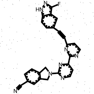 N#Cc1ccc2c(c1)CN(c1nccc(-c3nccc(C#Cc4ccc5[nH]nc(F)c5c4)n3)n1)C2